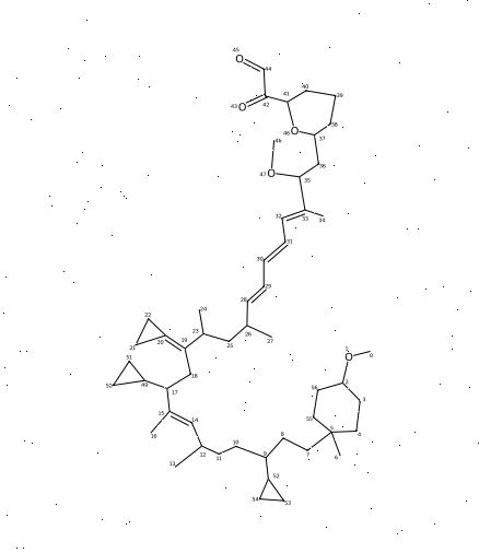 COC1CCC(C)(CCC(CCC(C)/C=C(\C)C(CC(=C2CC2)C(C)CC(C)/C=C/C=C/C=C(\C)C(CC2CCCC(C(=O)C=O)O2)OC)C2CC2)C2CC2)CC1